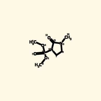 COP(=O)(OC)N1CCN(C)C1=O